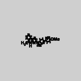 COc1ccc(-c2ccc3c(c2)ncn3-c2ccnc(N[C@@H](C)c3ccccc3)n2)nn1